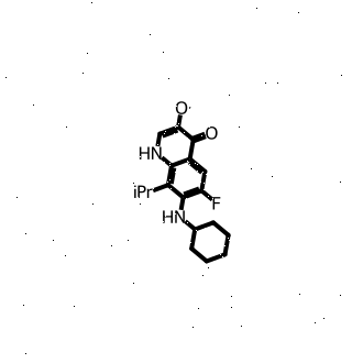 CC(C)c1c(NC2CCCCC2)c(F)cc2c(=O)c([O])c[nH]c12